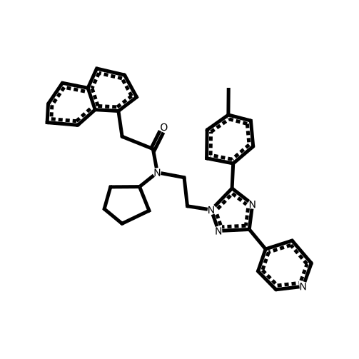 Cc1ccc(-c2nc(-c3ccncc3)nn2CCN(C(=O)Cc2cccc3ccccc23)C2CCCC2)cc1